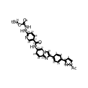 CC(=O)n1ccc(-c2ccc(-c3cn4cc(NC(=O)c5ccc(NNC(=O)OC(C)(C)C)nc5)ccc4n3)cc2)n1